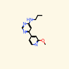 CCCNc1cc(-c2ccnc(OC)c2)ncn1